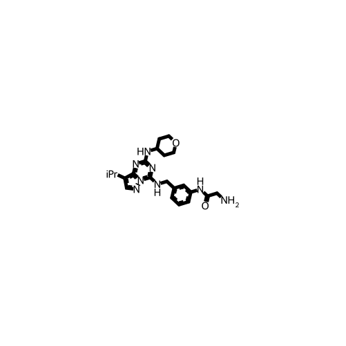 CC(C)c1cnn2c(NCc3cccc(NC(=O)CN)c3)nc(NC3CCOCC3)nc12